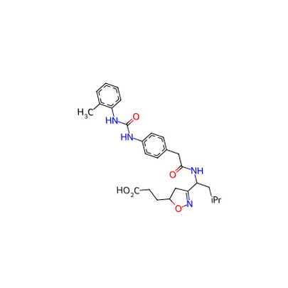 Cc1ccccc1NC(=O)Nc1ccc(CC(=O)NC(CC(C)C)C2=NOC(CCC(=O)O)C2)cc1